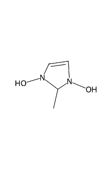 CC1N(O)C=CN1O